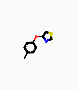 Cc1ccc(Oc2cs[c]n2)cc1